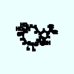 CCN(CC)c1cc(O)c2c(c1)/C=C/C[C@H](O)[C@H](O)C(=O)/C=C\[C@@H](C)[C@H](C)OC2=O